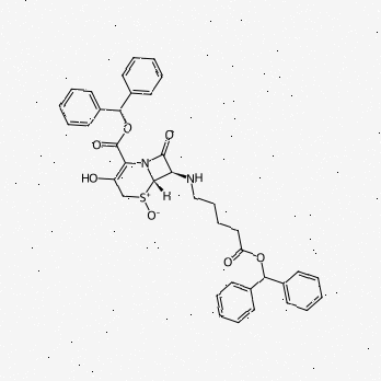 O=C(CCCCN[C@@H]1C(=O)N2C(C(=O)OC(c3ccccc3)c3ccccc3)=C(O)C[S+]([O-])[C@@H]12)OC(c1ccccc1)c1ccccc1